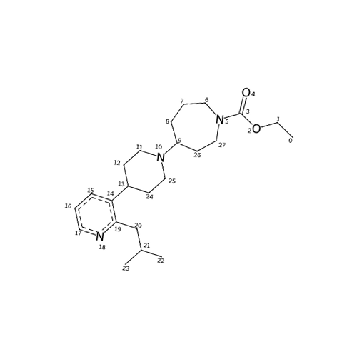 CCOC(=O)N1CCCC(N2CCC(c3cccnc3CC(C)C)CC2)CC1